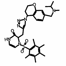 Cc1c(C)c(C)c(S(=O)(=O)N2C=CNC(=O)C2Cc2cn(C3CCOc4cc(CN(C)C(C)C)ccc43)nn2)c(C)c1C